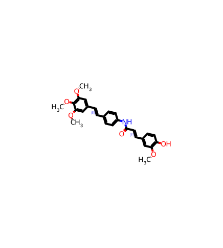 COc1cc(/C=C/C(=O)Nc2ccc(/C=C/c3cc(OC)c(OC)c(OC)c3)cc2)ccc1O